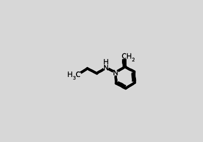 C=C1C=CC=CN1NCCC